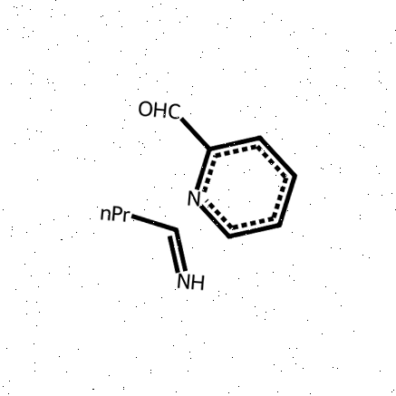 CCCC=N.O=Cc1ccccn1